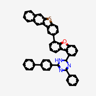 c1ccc(C2=NC(c3cccc4oc5c(-c6ccc7sc8cc9ccccc9cc8c7c6)cccc5c34)NC(c3ccc(-c4ccccc4)cc3)=N2)cc1